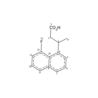 CC(CC(=O)O)c1cccc2cccc(F)c12